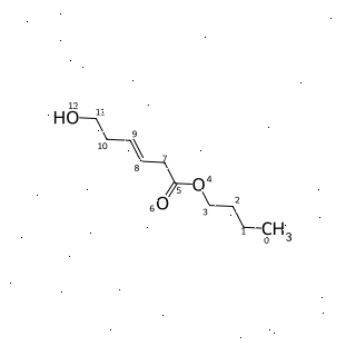 CCCCOC(=O)CC=CCCO